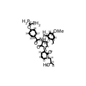 COc1cc(C)c([C@@H]2CN(c3cccn(CC(C)O)c3=O)C(=O)[C@H]2NC(=O)c2ccc(OC(P)P)cc2)c(P)c1